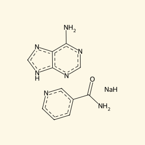 NC(=O)c1cccnc1.Nc1ncnc2[nH]cnc12.[NaH]